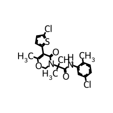 CC1=C(c2ccc(Cl)s2)C(=O)N(C(C)(C)C(=O)Nc2cc(Cl)ccc2C)CO1